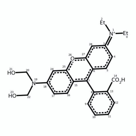 CC[N+](CC)=c1ccc2c(-c3ccccc3C(=O)O)c3ccc(N(CO)CO)cc3oc-2c1